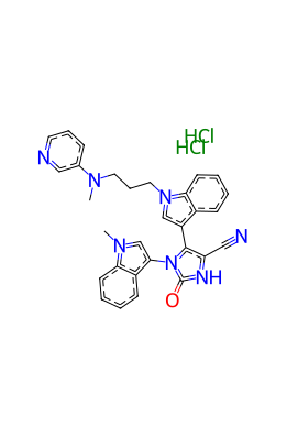 CN(CCCn1cc(-c2c(C#N)[nH]c(=O)n2-c2cn(C)c3ccccc23)c2ccccc21)c1cccnc1.Cl.Cl